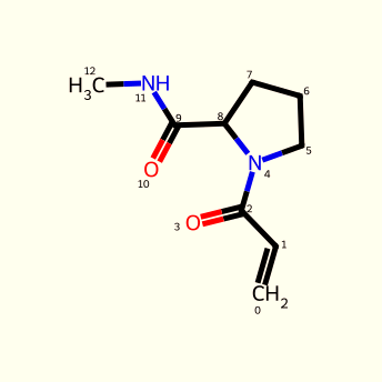 C=CC(=O)N1CCCC1C(=O)NC